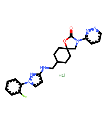 Cl.O=C1OC2(CCC(CNc3ccn(-c4ccccc4F)n3)CC2)CN1c1cccnn1